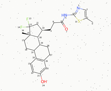 Cc1cnc(NC(=O)CC[C@@H]2CC(F)(F)[C@@]3(C)CCC4c5ccc(O)cc5CCC4C23)s1